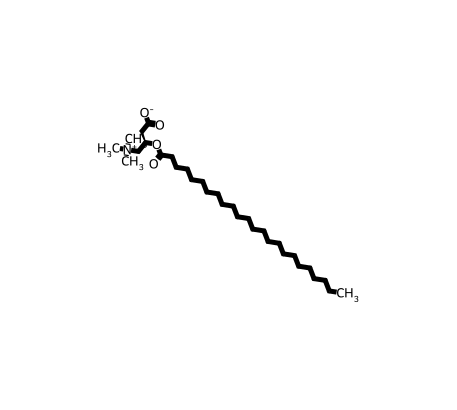 CCCCCCCCCCCCCCCCCCCCCCCC(=O)O[C@H](CC(=O)[O-])C[N+](C)(C)C